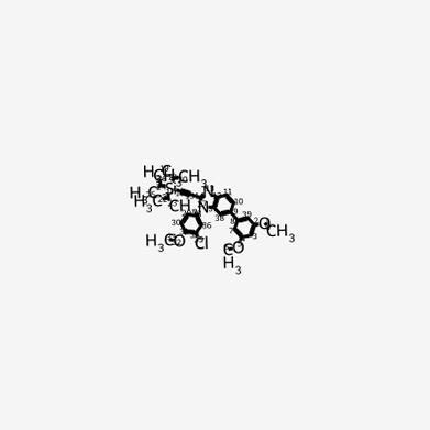 COc1cc(OC)cc(-c2ccc3nc(C#C[Si](C(C)C)(C(C)C)C(C)C)n(-c4ccc(OC)c(Cl)c4)c3c2)c1